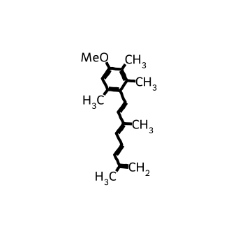 C=C(C)/C=C/C=C(C)/C=C/c1c(C)cc(OC)c(C)c1C